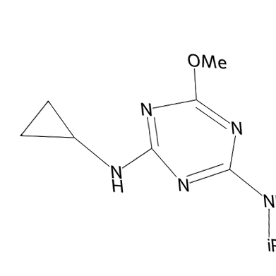 COc1nc(NC(C)C)nc(NC2CC2)n1